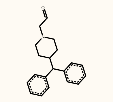 O=CCN1CCC(C(c2ccccc2)c2ccccc2)CC1